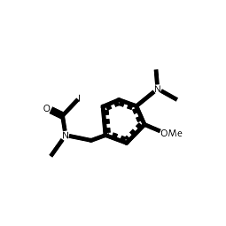 COc1cc(CN(C)C(=O)I)ccc1N(C)C